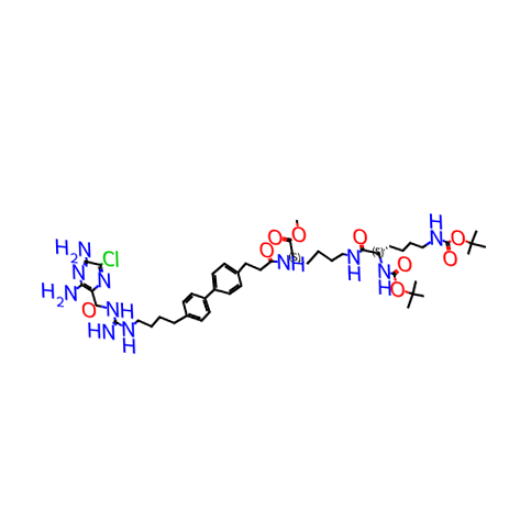 COC(=O)[C@H](CCCCNC(=O)[C@H](CCCCNC(=O)OC(C)(C)C)NC(=O)OC(C)(C)C)NC(=O)CCc1ccc(-c2ccc(CCCCNC(=N)NC(=O)c3nc(Cl)c(N)nc3N)cc2)cc1